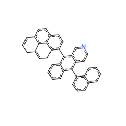 C1=Cc2ccc3ccc(-c4c5ccccc5c(-c5cccc6ccccc56)c5ccncc45)c4c3c2C(=CC4)C1